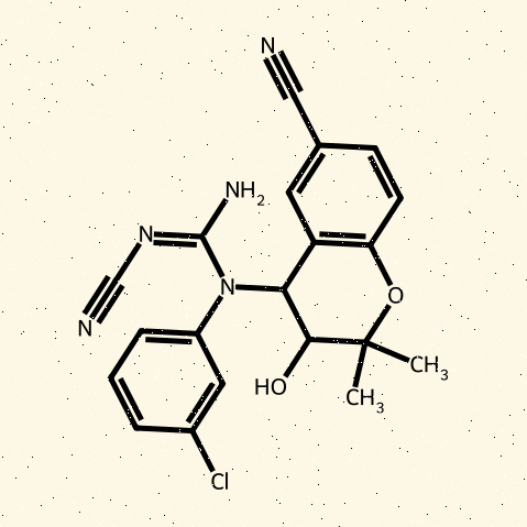 CC1(C)Oc2ccc(C#N)cc2C(N(/C(N)=N\C#N)c2cccc(Cl)c2)C1O